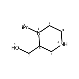 CC(C)N1CCNCC1CO